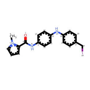 Cn1cccc1C(=O)Nc1ccc(Nc2ccc(CI)cc2)cc1